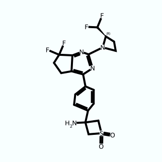 NC1(c2ccc(-c3nc(N4CC[C@@H]4C(F)F)nc4c3CCC4(F)F)cc2)CS(=O)(=O)C1